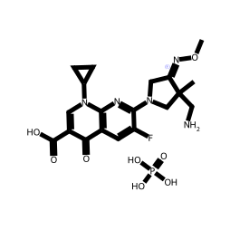 CO/N=C1/CN(c2nc3c(cc2F)c(=O)c(C(=O)O)cn3C2CC2)CC1(C)CN.O=P(O)(O)O